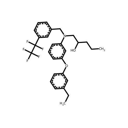 CCCC(O)CN(Cc1cccc(C(F)(F)C(F)(F)F)c1)c1cccc(Oc2cccc(CC)c2)c1